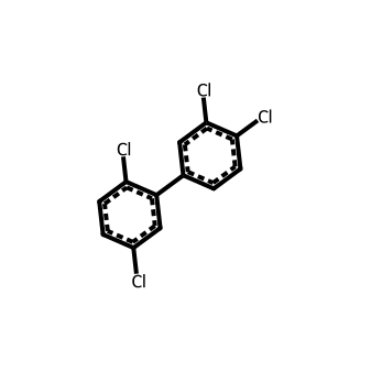 Clc1ccc(Cl)c(-c2ccc(Cl)c(Cl)c2)c1